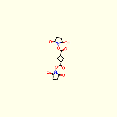 O=C(ON1C(=O)CCC1=O)C1CC(C(=O)ON2C(=O)CCC2O)C1